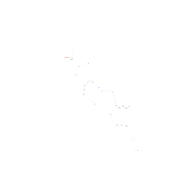 COC(=O)c1ccc2c(cnn2Cc2ccc(C#N)cc2)c1